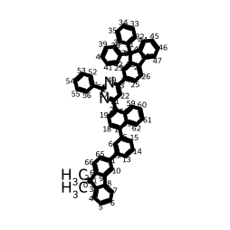 CC1(C)c2ccccc2-c2cc(-c3cccc(-c4ccc(-c5cc(-c6ccc7c(c6)C(c6ccccc6)(c6ccccc6)c6ccccc6-7)nc(-c6ccccc6)n5)c5ccccc45)c3)ccc21